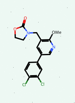 COc1ncc(-c2ccc(Cl)c(Cl)c2)cc1CN1CCOC1=O